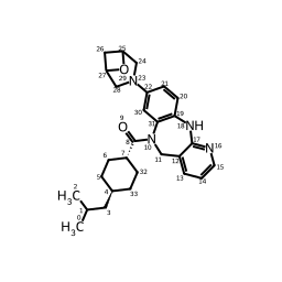 CC(C)C[C@H]1CC[C@H](C(=O)N2Cc3cccnc3Nc3ccc(N4CC5CC(C4)O5)cc32)CC1